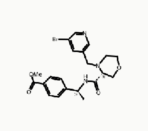 COC(=O)c1ccc([C@H](C)NC(=O)[C@H]2COCCN2Cc2cncc(Br)c2)cc1